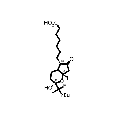 CCCCC(F)(F)[C@@]1(O)CCC2[C@H](CC(=O)[C@@H]2CCCCCCC(=O)O)O1